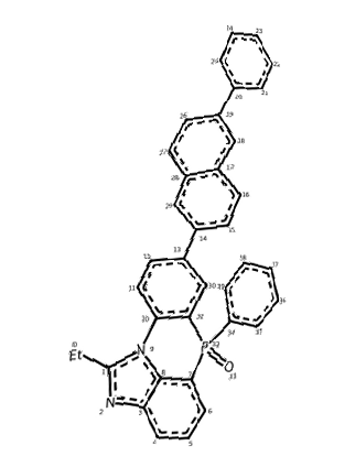 CCc1nc2cccc3c2n1-c1ccc(-c2ccc4cc(-c5ccccc5)ccc4c2)cc1P3(=O)c1ccccc1